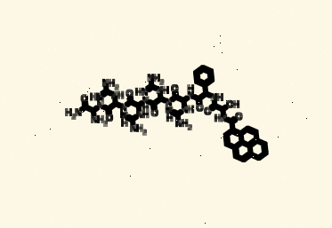 N=C(N)NC(NC(=O)C(NC(=N)N)NC(=O)C(NC(=N)N)NC(=O)C(NC(=N)N)NC(=O)C(NC(=O)C(O)NC(=O)C1=C2C=CC3=C4C(=CC=C(C=C1)C24)CC=C3)c1ccccc1)C(=O)NC(N)C(N)=O